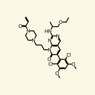 C=CC(=O)N1CCN(CCCn2c(=O)c(-c3c(Cl)c(OC)cc(OC)c3Cl)cc3cnc(NC(C)COCC)nc32)CC1